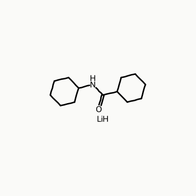 O=C(NC1CCCCC1)C1CCCCC1.[LiH]